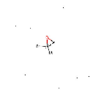 CCC1(C(C)C)CO1